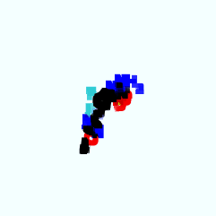 C#CCOc1cnc(/C(F)=C/c2cc(F)c3c(c2)[C@]2(C3)CS(=O)(=O)N(C)C(N)=N2)cn1